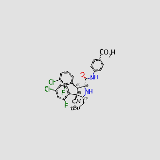 CC(C)(C)C[C@@H]1N[C@@H](C(=O)Nc2ccc(C(=O)O)cc2)[C@H](c2cccc(Cl)c2F)[C@@]1(C#N)c1ccc(Cl)cc1F